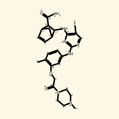 Cc1ccc(Nc2ncc(F)c(NC3C4C=CC(C4)C3C(N)=O)n2)cc1OCC(=O)N1CCN(C)CC1